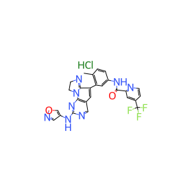 Cc1ccc(NC(=O)c2cc(C(F)(F)F)ccn2)cc1C1=Cc2cnc(Nc3cnoc3)nc2N2CCN=C12.Cl